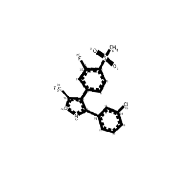 CS(=O)(=O)c1ccc(-c2c(-c3cccc(Cl)c3)noc2C(F)(F)F)cc1F